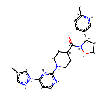 Cc1cnn(-c2ccnc(N3CCC(C(=O)N4OCC[C@H]4c4ccc(C)nc4)CC3)n2)c1